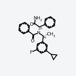 C[C@H](c1cc(F)cc(C2CC2)c1)N(C(=O)c1ccccc1)[C@H](C(N)=O)c1ccccc1